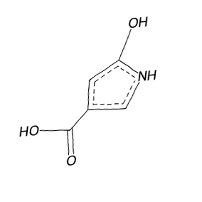 O=C(O)c1c[nH]c(O)c1